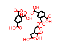 O=C(O)CC(CC(=O)OC(=O)c1cc(C(=O)O)ccc1C(=O)O)C(=O)O.O=C(O)c1ccc(C(=O)O)c(C(=O)O)c1